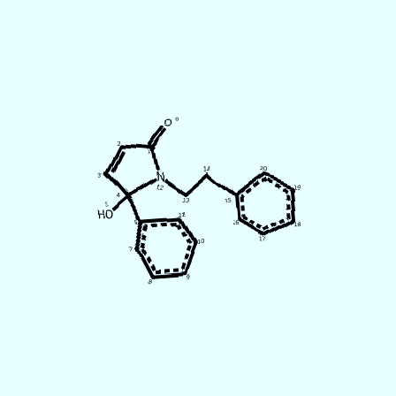 O=C1C=CC(O)(c2ccccc2)N1CCc1ccccc1